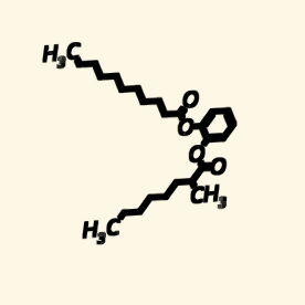 CCCCCCCCCCC(=O)Oc1ccccc1OC(=O)C(C)CCCCCC